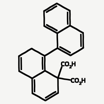 O=C(O)C1(C(=O)O)C=CC=C2C=CCC(c3cccc4ccccc34)=C21